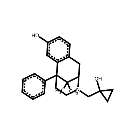 CC1(C)C2Cc3ccc(O)cc3C1(c1ccccc1)CCN2CC1(O)CC1